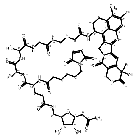 CC[C@@]1(O)C(=O)OCc2c1cc1n(c2=O)Cc2c-1nc1cc(F)c(C)c3c1c2[C@@H](NC(=O)COCNC(=O)CNC(=O)[C@H](C)NC(=O)[C@@H](NC(=O)[C@H](CCC(=O)NC[C@H]1O[C@@H](CC(N)=O)[C@H](O)[C@@H]1O)NC(=O)CCCCCN1C(=O)C=CC1=O)C(C)C)CC3